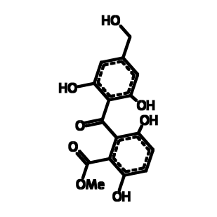 COC(=O)c1c(O)ccc(O)c1C(=O)c1c(O)cc(CO)cc1O